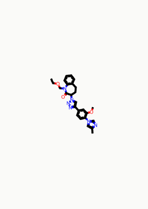 CCOCN1C(=O)C(n2cc(-c3ccc(-n4cnc(C)c4)c(OC)c3)nn2)CCc2ccccc21